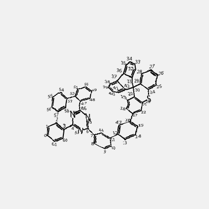 c1ccc(-c2nc(-c3cccc(-c4cccc(-c5ccc6c(c5)Sc5ccccc5C65c6ccccc6-c6ccccc65)c4)c3)nc(-c3ccccc3-c3ccccc3)n2)cc1